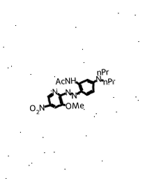 CCCN(CCC)c1ccc(N=Nc2ncc([N+](=O)[O-])cc2OC)c(NC(C)=O)c1